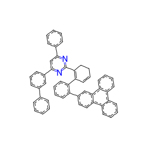 C1=CC(c2ccccc2-c2ccc3c4ccccc4c4ccccc4c3c2)=C(c2nc(-c3ccccc3)cc(-c3cccc(-c4ccccc4)c3)n2)CC1